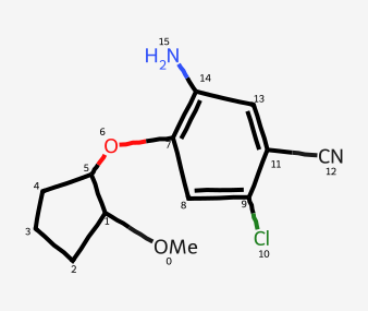 COC1CCCC1Oc1cc(Cl)c(C#N)cc1N